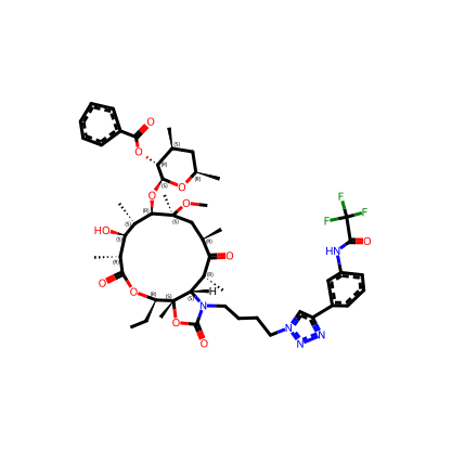 CC[C@H]1OC(=O)[C@H](C)[C@@H](O)[C@H](C)[C@@H](O[C@@H]2O[C@H](C)C[C@H](C)[C@H]2OC(=O)c2ccccc2)[C@@](C)(OC)C[C@@H](C)C(=O)[C@H](C)[C@@H]2N(CCCCn3cc(-c4cccc(NC(=O)C(F)(F)F)c4)nn3)C(=O)O[C@@]21C